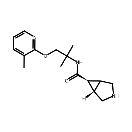 Cc1cccnc1OCC(C)(C)NC(=O)[C@H]1C2CNC[C@@H]21